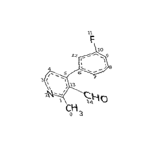 Cc1nccc(-c2cccc(F)c2)c1C=O